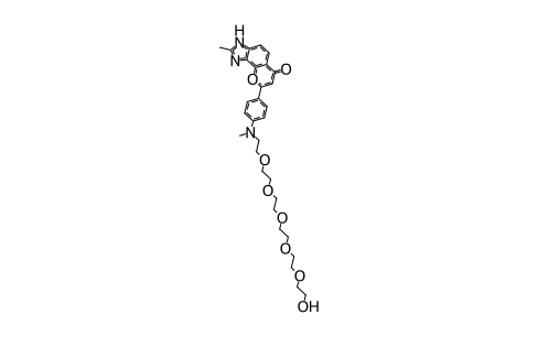 Cc1nc2c(ccc3c(=O)cc(-c4ccc(N(C)CCOCCOCCOCCOCCOCCO)cc4)oc32)[nH]1